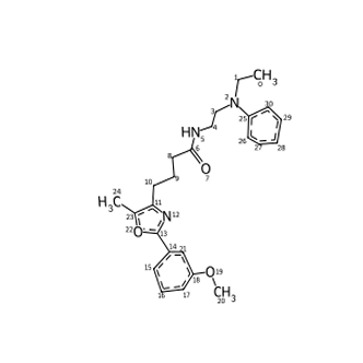 CCN(CCNC(=O)CCCc1nc(-c2cccc(OC)c2)oc1C)c1ccccc1